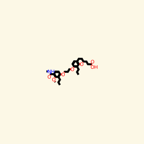 CCCc1c(OCCCOc2ccc(C(=O)NC)c(OC)c2CCC)ccc2c1OC(CCC(=O)O)CC2